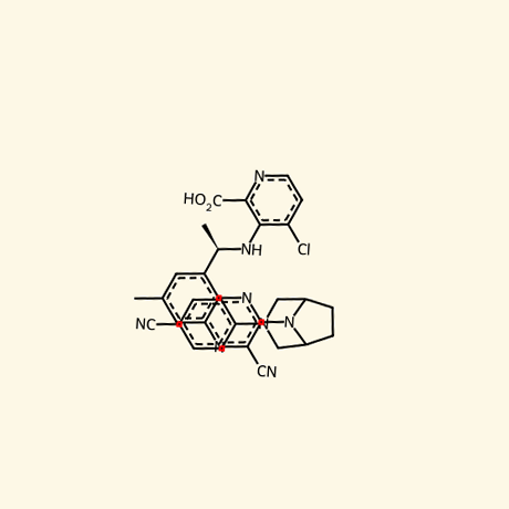 Cc1cc([C@@H](C)Nc2c(Cl)ccnc2C(=O)O)c2nc(N3C4CCC3CN(c3ccc(C#N)cc3)C4)c(C#N)nc2c1